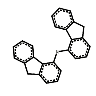 c1ccc2c(c1)Cc1cccc([N]c3cccc4c3-c3ccccc3C4)c1-2